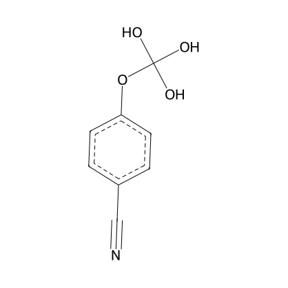 N#Cc1ccc(OC(O)(O)O)cc1